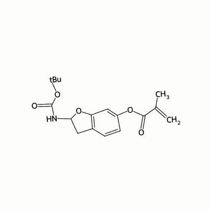 C=C(C)C(=O)Oc1ccc2c(c1)OC(NC(=O)OC(C)(C)C)C2